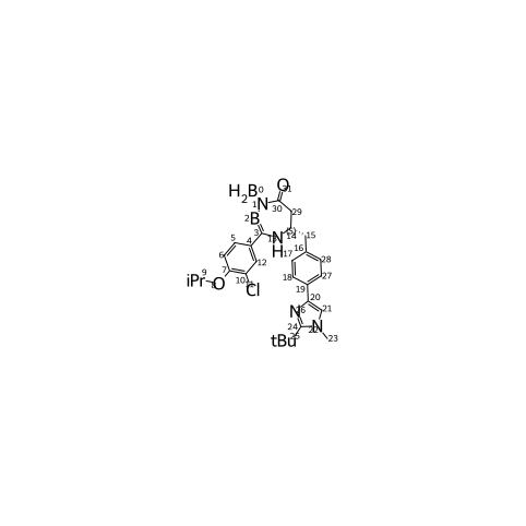 BN1B=C(c2ccc(OC(C)C)c(Cl)c2)N[C@@H](Cc2ccc(-c3cn(C)c(C(C)(C)C)n3)cc2)CC1=O